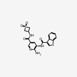 Nc1ncc(C(=O)NC2CS(=O)(=O)C2)cc1NC(=O)c1csc2ccccc12